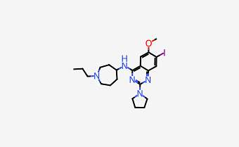 CCCN1CCCC(Nc2nc(N3CCCC3)nc3cc(I)c(OC)cc23)CC1